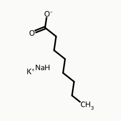 CCCCCCCC(=O)[O-].[K+].[NaH]